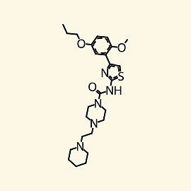 CCCOc1ccc(OC)c(-c2csc(NC(=O)N3CCN(CCN4CCCCC4)CC3)n2)c1